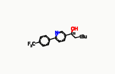 CC(C)(C)C[C@H](O)c1ccc(-c2ccc(C(F)(F)F)cc2)nc1